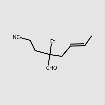 CC=CCC(C=O)(CC)CCC#N